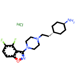 Cl.N[C@H]1CC[C@H](CCN2CCN(c3noc4ccc(F)c(F)c34)CC2)CC1